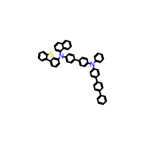 c1ccc(-c2ccc(-c3ccc(N(c4ccccc4)c4ccc(-c5ccc(N(c6cccc7ccccc67)c6cccc7c6sc6ccccc67)cc5)cc4)cc3)cc2)cc1